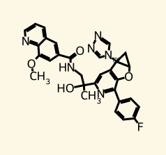 COc1cc(C(=O)NCC(C)(O)c2cc3c(c(-c4ccc(F)cc4)n2)OC2C[C@@]32n2cnnc2)cc2cccnc12